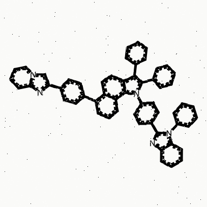 c1ccc(-c2c(-c3ccccc3)n(-c3ccc(-c4nc5ccccc5n4-c4ccccc4)cc3)c3c2ccc2c(-c4ccc(-c5cn6ccccc6n5)cc4)cccc23)cc1